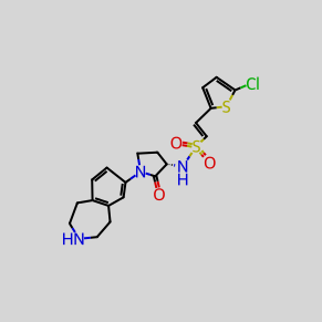 O=C1[C@@H](NS(=O)(=O)C=Cc2ccc(Cl)s2)CCN1c1ccc2c(c1)CCNCC2